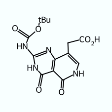 CC(C)(C)OC(=O)Nc1nc2c(CC(=O)O)c[nH]c(=O)c2c(=O)[nH]1